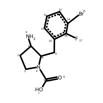 NC1CCN(C(=O)O)C1Cc1cccc(Br)c1F